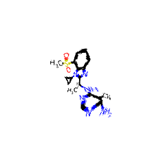 C[C@@H](Nc1ncnc(N)c1C#N)c1nc2cccc(S(C)(=O)=O)c2n1C1CC1